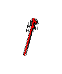 COCCOCCOCCOCCOCCOCCOCCOCCOCCOCCOCCOCCC(=O)NCCCC[C@H](NC(=O)CCNC(=O)OCC[C@H](CNC(=O)OC(C)(C)C)N1C(=O)C=CC1=O)C(=O)O